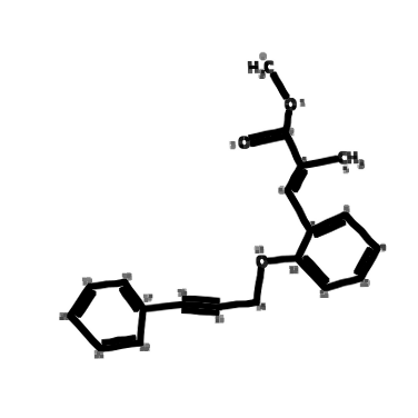 COC(=O)/C(C)=C/c1ccccc1OCC#Cc1ccccc1